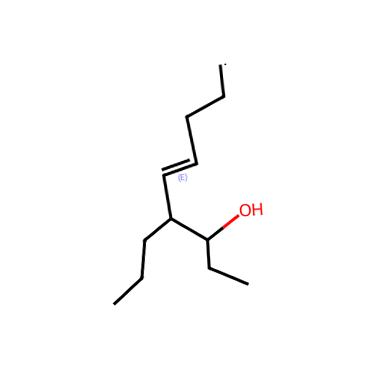 [CH2]CC/C=C/C(CCC)C(O)CC